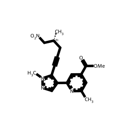 COC(=O)c1cc(C)nc(-c2cnn(C)c2C#CC[C@@H](C)C[N+](=O)[O-])c1